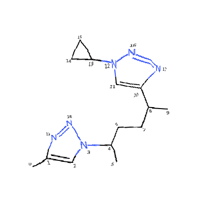 Cc1cn(C(C)CCC(C)c2cn(C3CC3)nn2)nn1